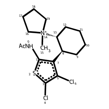 CC(=O)Nc1sc(Cl)c(Cl)c1[C@@H]1CCCC[C@H]1[N+]1(C)CCCC1